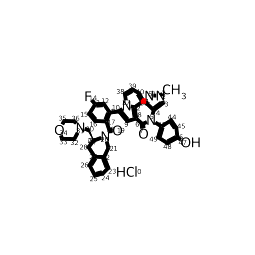 Cl.Cn1cc(N(C(=O)c2cc(-c3cc(F)ccc3C(=O)N3Cc4ccccc4C[C@H]3CN3CCOCC3)n3ccccc23)c2ccc(O)cc2)cn1